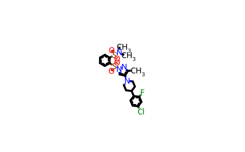 Cc1nn(S(=O)(=O)c2ccccc2S(=O)(=O)N(C)C)cc1N1CCC(c2ccc(Cl)cc2F)CC1